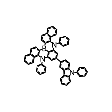 c1ccc(N2c3cc(-c4ccc5c(c4)c4ccccc4n5-c4ccccc4)cc4c3B(c3ccc5ccccc5c32)c2ccc3ccccc3c2N4c2ccccc2)cc1